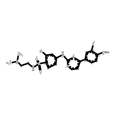 CCc1cc(Nc2nccc(-c3ccc(OC)c(F)c3)n2)ccc1S(=O)(=O)NCCN(C)C